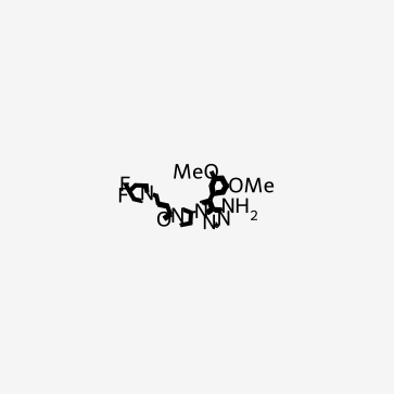 COc1cc(OC)cc(-c2cn([C@H]3CCN(C(=O)/C=C/CN4CCC(F)(F)CC4)C3)c3ncnc(N)c23)c1